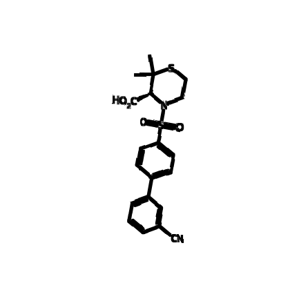 CC1(C)SCCN(S(=O)(=O)c2ccc(-c3cccc(C#N)c3)cc2)[C@H]1C(=O)O